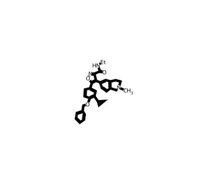 CCNC(=O)c1noc(-c2ccc(OCc3ccccc3)c(C3CC3)c2)c1-c1ccc2c(c1)CCN(C)C2